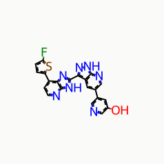 Oc1cncc(-c2cnc3[nH]nc(-c4nc5c(-c6ccc(F)s6)ccnc5[nH]4)c3c2)c1